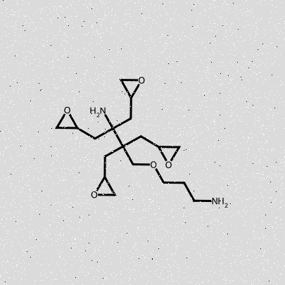 NCCCOCC(CC1CO1)(CC1CO1)C(N)(CC1CO1)CC1CO1